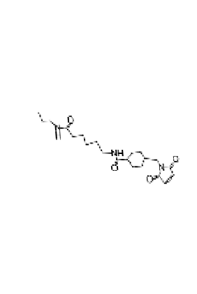 CCCNC(=O)CCCCCNC(=O)C1CCC(CN2C(=O)C=CC2=O)CC1